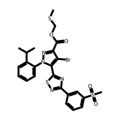 CSCOC(=O)c1nn(-c2ccccc2C(C)C)c(-c2nc(-c3cccc(S(C)(=O)=O)c3)ns2)c1Br